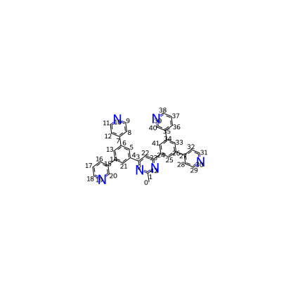 Cc1nc(-c2cc(-c3ccncc3)cc(-c3cccnc3)c2)cc(-c2cc(-c3ccncc3)cc(-c3cccnc3)c2)n1